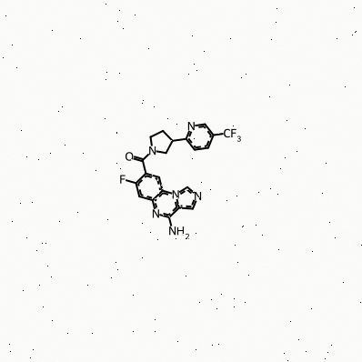 Nc1nc2cc(F)c(C(=O)N3CCC(c4ccc(C(F)(F)F)cn4)C3)cc2n2cncc12